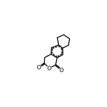 O=C1Cc2cc3c(cc2C(=O)O1)CCCC3